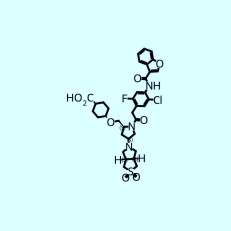 O=C(Nc1cc(F)c(CC(=O)N2C[C@@H](N3C[C@@H]4CS(=O)(=O)C[C@@H]4C3)C[C@H]2CO[C@H]2CC[C@H](C(=O)O)CC2)cc1Cl)c1coc2ccccc12